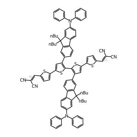 [C-]#[N+]/C(C#N)=C\c1ccc(-c2cc(-c3ccc4c(c3)C(CCCC)(CCCC)c3cc(N(c5ccccc5)c5ccccc5)ccc3-4)c(-c3sc(-c4ccc(/C=C(\C#N)[N+]#[C-])s4)cc3-c3ccc4c(c3)C(CCCC)(CCCC)c3cc(N(c5ccccc5)c5ccccc5)ccc3-4)s2)s1